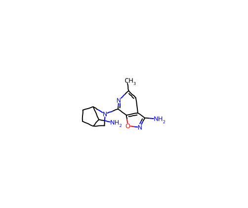 Cc1cc2c(N)noc2c(N2CC3CCC2C3N)n1